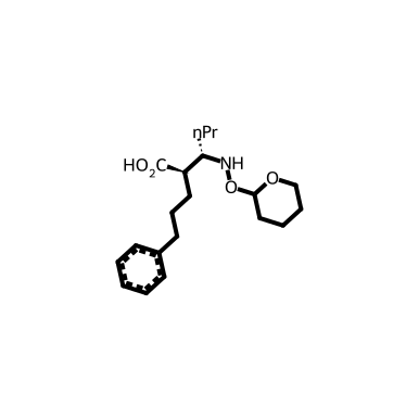 CCC[C@H](NOC1CCCCO1)[C@@H](CCCc1ccccc1)C(=O)O